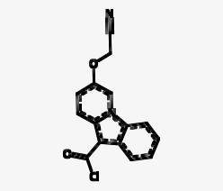 N#CCOc1ccc2c(C(=O)Cl)c3ccccc3n2c1